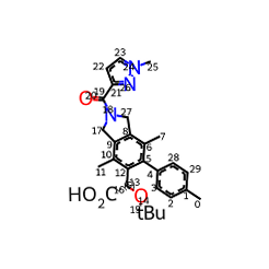 Cc1ccc(-c2c(C)c3c(c(C)c2[C@H](OC(C)(C)C)C(=O)O)CN(C(=O)c2ccn(C)n2)C3)cc1